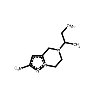 COCC(C)N1CCn2nc([N+](=O)[O-])cc2C1